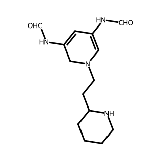 O=CNC1=CN(CCC2CCCCN2)CC(NC=O)=C1